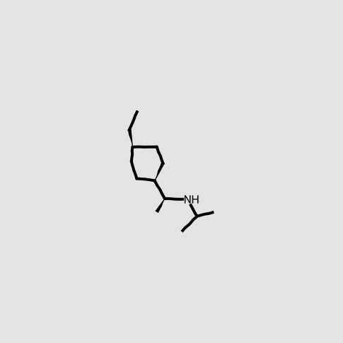 CC[C@H]1CC[C@@H]([C@H](C)NC(C)C)CC1